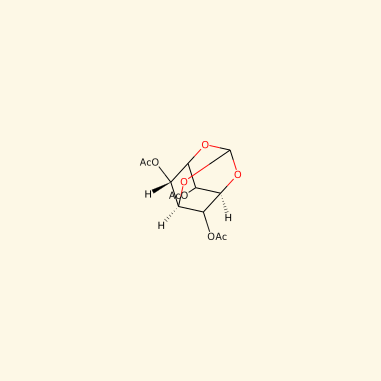 CC(=O)OC1C2OC3O[C@H]1C(OC(C)=O)[C@H](O3)[C@@H]2OC(C)=O